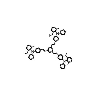 CCc1cccc(C)c1N(c1ccccc1)c1ccc(/C=C/c2cc(/C=C/c3ccc(N(c4ccccc4)c4c(C)cccc4CC)cc3)cc(/C=C/c3ccc(N(c4ccccc4)c4c(C)cccc4CI)cc3)c2)cc1